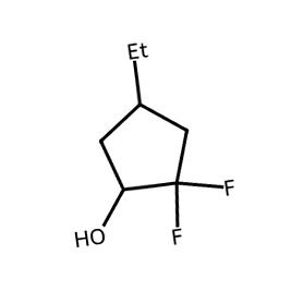 CCC1CC(O)C(F)(F)C1